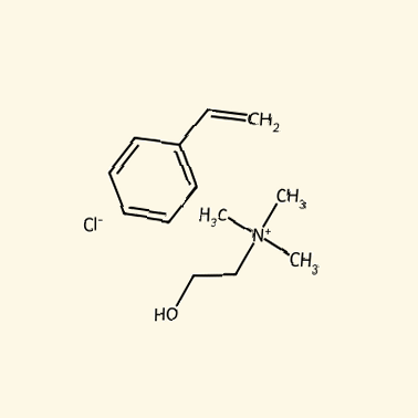 C=Cc1ccccc1.C[N+](C)(C)CCO.[Cl-]